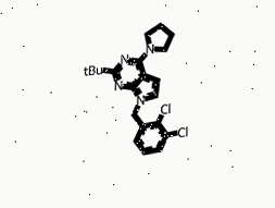 CC(C)(C)c1nc(N2CCCC2)c2ccn(Cc3cccc(Cl)c3Cl)c2n1